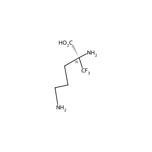 NCCC[C@](N)(C(=O)O)C(F)(F)F